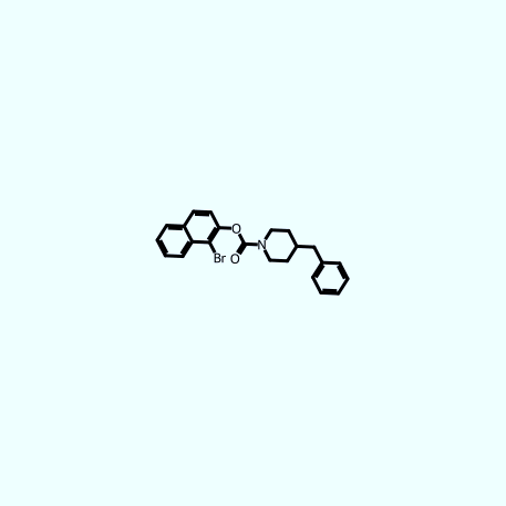 O=C(Oc1ccc2ccccc2c1Br)N1CCC(Cc2ccccc2)CC1